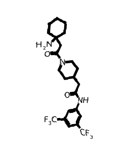 NC1(CC(=O)N2CCC(CC(=O)Nc3cc(C(F)(F)F)cc(C(F)(F)F)c3)CC2)CCCCC1